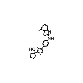 Cc1cccc2nc(Nc3ccc(-c4cnc(C5(O)CCCC5)s4)cc3)oc12